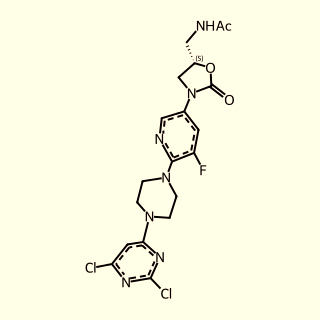 CC(=O)NC[C@H]1CN(c2cnc(N3CCN(c4cc(Cl)nc(Cl)n4)CC3)c(F)c2)C(=O)O1